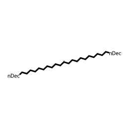 CCCCCCCCCCCCCCCCCCCC[C]CCCCCCCCCCCCCCCCCCCC